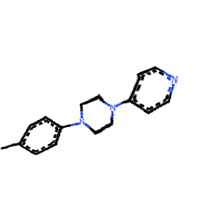 Cc1ccc(N2CCN(c3ccncc3)CC2)cc1